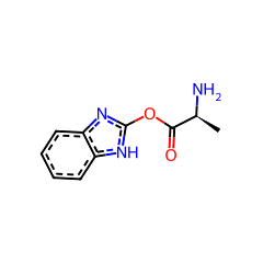 C[C@H](N)C(=O)Oc1nc2ccccc2[nH]1